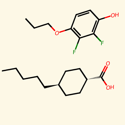 CCCCC[C@H]1CC[C@H](C(=O)O)CC1.CCCOc1ccc(O)c(F)c1F